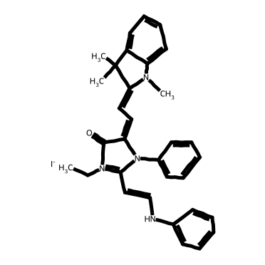 CC[N+]1=C(C=CNc2ccccc2)N(c2ccccc2)C(=CC=C2N(C)c3ccccc3C2(C)C)C1=O.[I-]